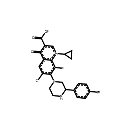 O=C(O)c1cn(C2CC2)c2c(F)c(N3CCNC(c4ccc(Br)cc4)C3)c(Cl)cc2c1=O